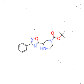 CC(C)(C)OC(=O)N1CCNC(c2nc(-c3ccccc3)no2)C1